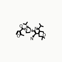 Cc1occc1C(=O)N1CCN(c2nc(C(C)C)c3c(c2C#N)CC(C)(C)OC3)C[C@H]1C(C)C